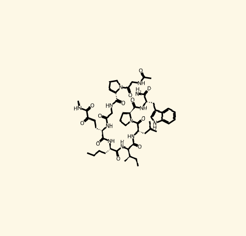 CCCC[C@H](NC(=O)[C@H](CCC(=O)C(=O)NC)NC(=O)CNC(=O)[C@@H]1CCCN1C(=O)CNC(C)=O)C(=O)NC(C(=O)N[C@@H](CC(C)C)C(=O)N1CCC[C@H]1C(=O)N[C@@H](Cc1c[nH]c2ccccc12)C(N)=O)[C@H](C)CC